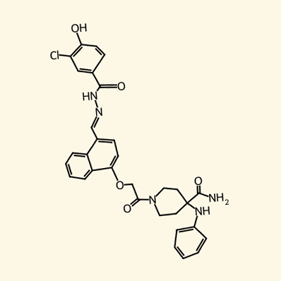 NC(=O)C1(Nc2ccccc2)CCN(C(=O)COc2ccc(/C=N/NC(=O)c3ccc(O)c(Cl)c3)c3ccccc23)CC1